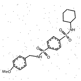 COc1ccc(CNS(=O)(=O)c2ccc(S(=O)(=O)NC3CCCCC3)cc2)cc1